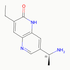 CCc1cc2ncc([C@H](C)N)cc2[nH]c1=O